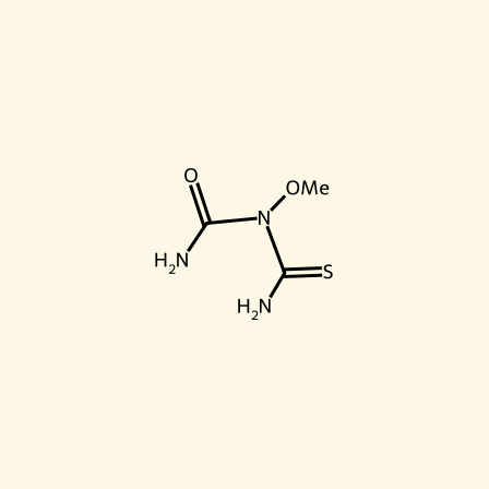 CON(C(N)=O)C(N)=S